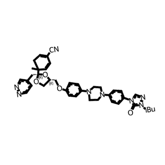 CCC(C)n1ncn(-c2ccc(N3CCN(c4ccc(OC[C@@H]5CO[C@@](Cc6ccnnc6)(C6(C)C=CC(C#N)=CC6)O5)cc4)CC3)cc2)c1=O